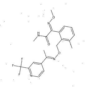 CNC(=O)/C(=N/OC)c1cccc(C)c1CO/N=C(\C)c1ccnc(C(F)(F)F)c1